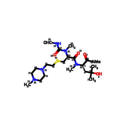 CNC(=O)[C@H](CC(C)(C)O)N(C)C(=O)[C@@H](CSCCN1CCN(C)CC1)N(C)C(=O)NC=O